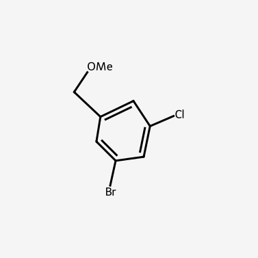 COCc1cc(Cl)cc(Br)c1